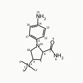 C[N+](C)(C)C1CC(C(N)=O)N(c2ccc(N)cc2)C1